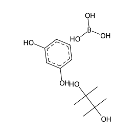 CC(C)(O)C(C)(C)O.OB(O)O.Oc1cccc(O)c1